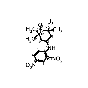 CC1(C)CC(Nc2ccc([N+](=O)[O-])cc2[N+](=O)[O-])CC(C)(C)N1[O]